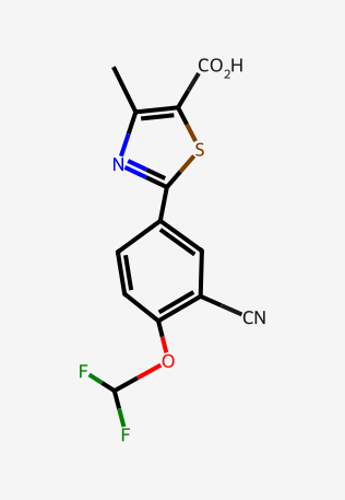 Cc1nc(-c2ccc(OC(F)F)c(C#N)c2)sc1C(=O)O